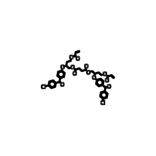 C=CC(=O)OCCC(COC(=O)CCC(=O)OCC(CCOC(=O)C=C)Oc1ccc(C(=O)c2ccc(Cl)cc2)cc1)Oc1ccc(C(=O)c2ccc(Cl)cc2)cc1